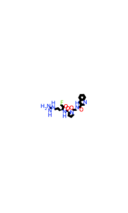 N=C(N)NCCC[C@H](NC(=O)[C@@H]1CCCN1C(=O)CNC(=O)c1cnc2ccccc2c1)C(=O)CF